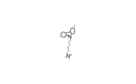 Cc1ccc2c(c1)c1ccccc1n2CCCCCC[N+](C)(C)C